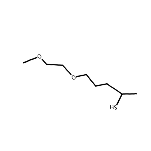 COCCOCCCC(C)S